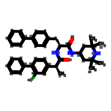 C[C@@H](C(=O)N[C@H](Cc1ccc(-c2ccccc2)cc1)C(=O)NC1CC(C)(C)NC(C)(C)C1)c1ccc(-c2ccccc2)c(F)c1